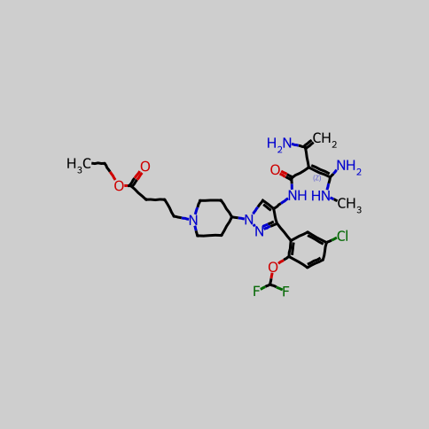 C=C(N)/C(C(=O)Nc1cn(C2CCN(CCCC(=O)OCC)CC2)nc1-c1cc(Cl)ccc1OC(F)F)=C(\N)NC